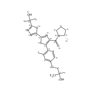 Cc1cc(OCC(C)(O)C(F)(F)F)ccc1-c1sc(-c2nnc(C(C)(C)O)o2)nc1C(=O)N1CCC[C@@H]1C